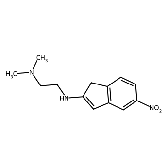 CN(C)CCNC1=Cc2cc([N+](=O)[O-])ccc2C1